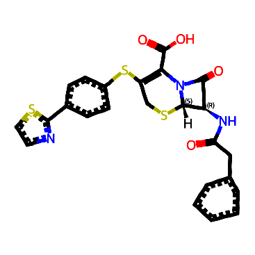 O=C(Cc1ccccc1)N[C@@H]1C(=O)N2C(C(=O)O)=C(Sc3ccc(-c4nccs4)cc3)CS[C@@H]12